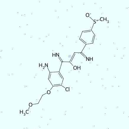 COCCOc1cc(N)c(C(=N)/C(O)=C/C(=N)c2ccc([S+](C)[O-])cc2)cc1Cl